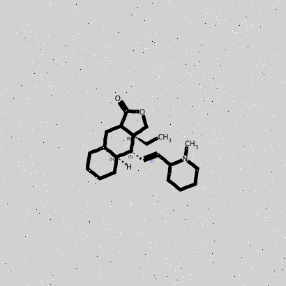 CC[C@]12COC(=O)C1CC1CCCC[C@@H]1[C@H]2/C=C/C1CCCCN1C